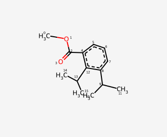 COC(=O)c1cccc(C(C)C)c1C(C)C